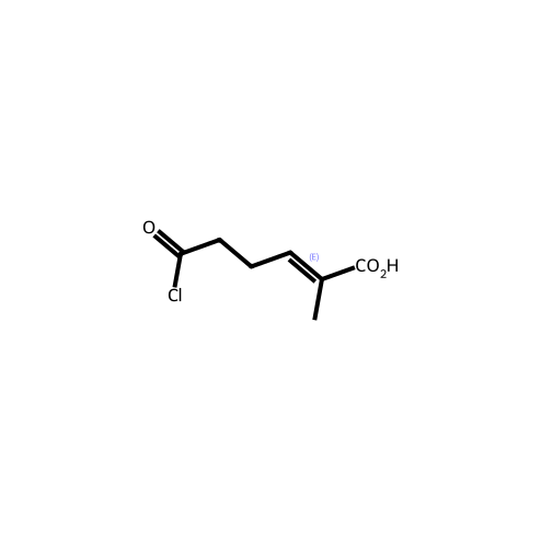 C/C(=C\CCC(=O)Cl)C(=O)O